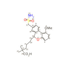 COc1cccc2c1-c1ccc(CS(N)(=O)=O)cc1C(CCCCC(C)(C)C(=O)O)O2